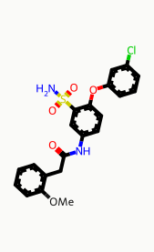 COc1ccccc1CC(=O)Nc1ccc(Oc2cccc(Cl)c2)c(S(N)(=O)=O)c1